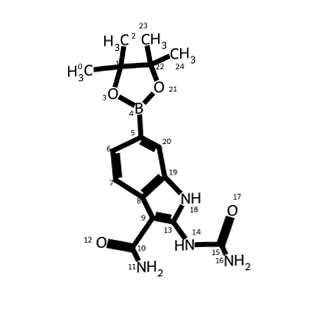 CC1(C)OB(c2ccc3c(C(N)=O)c(NC(N)=O)[nH]c3c2)OC1(C)C